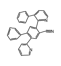 N#Cc1cc(-c2ccccn2)c(-c2ccccc2)cc1-c1ncccc1-c1ccccc1